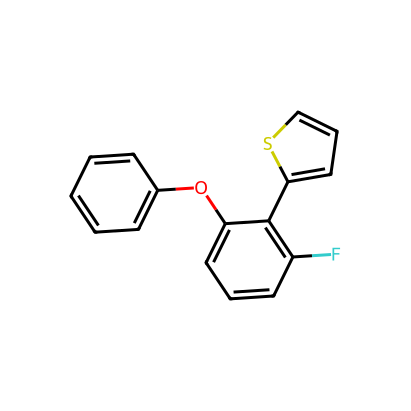 Fc1cccc(Oc2ccccc2)c1-c1cccs1